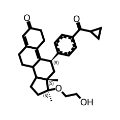 C[C@]12C[C@H](c3ccc(C(=O)C4CC4)cc3)C3=C4CCC(=O)C=C4CCC3C1CC[C@]2(C)OCCO